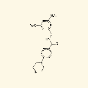 COc1cc(CNC(=O)c2ccc(N3CCNCC3)cc2)cc(OC)c1